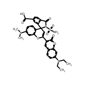 CCN(CC)c1ccc2cc(C3=CC4(c5ccc(N(C)C)cc5O3)c3cc(C(=O)O)ccc3C(=O)N4S(N)(=O)=O)c(=O)oc2c1